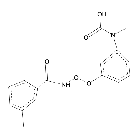 Cc1cccc(C(=O)NOOc2cccc(N(C)C(=O)O)c2)c1